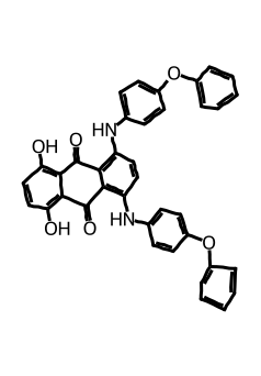 O=C1c2c(O)ccc(O)c2C(=O)c2c(Nc3ccc(Oc4ccccc4)cc3)ccc(Nc3ccc(Oc4ccccc4)cc3)c21